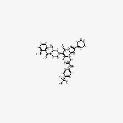 Cc1c(N2CCN(C(=O)c3c(O)cccc3O)CC2)c(=O)n2nc(C3=CCOCC3)nc2n1CC(=O)Nc1ccc(C(F)(F)F)cc1